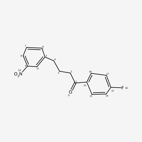 O=C(CCCc1[c]ccc([N+](=O)[O-])c1)c1ccc(F)cc1